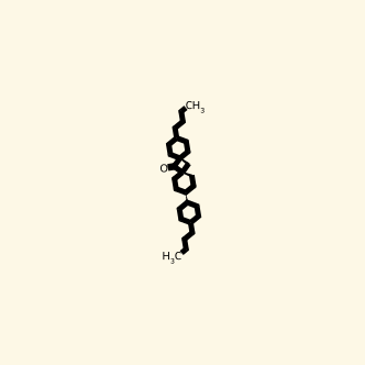 CCCCC1CCC([C@H]2CC[C@]3(CC2)C[C@@]2(CCC(CCCC)CC2)C3=O)CC1